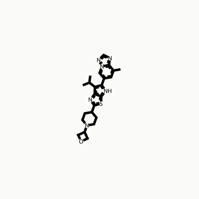 Cc1cc(-c2[nH]c3sc(C4CCN(C5COC5)CC4)nc3c2C(C)C)cn2ncnc12